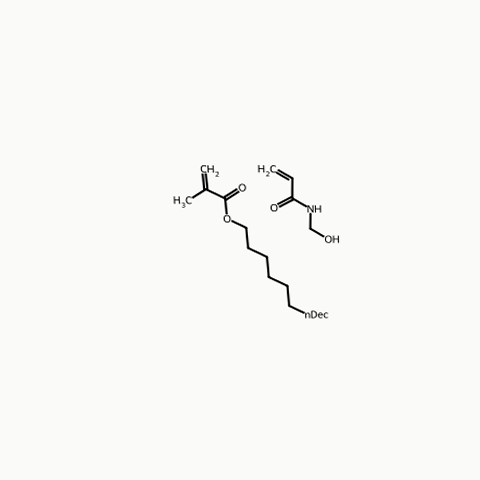 C=C(C)C(=O)OCCCCCCCCCCCCCCCC.C=CC(=O)NCO